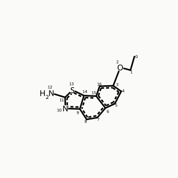 CCOc1ccc2ccc3nc(N)sc3c2c1